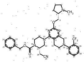 CN1CCC[C@H]1COc1nc2c(c(N3CCN(C(=O)OCc4ccccc4)[C@@H](CC#N)C3)n1)CCN(c1ccccc1C(F)(F)F)C2